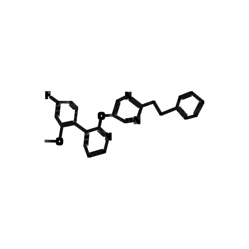 COc1cc(F)ccc1-c1cccnc1Oc1cnc(CCc2ccccc2)nc1